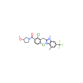 COC1CCN(C(=O)c2ccc(Cl)c(Cc3nc4c(C)cc(C(F)(F)F)cc4n3C)c2Cl)C1